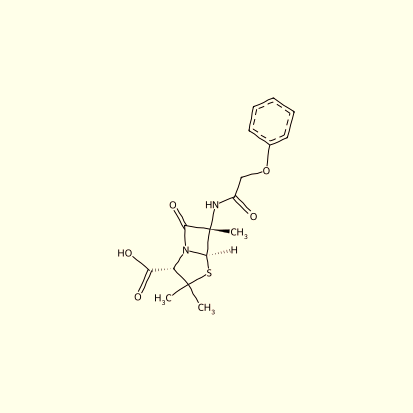 CC1(C)S[C@H]2N(C(=O)[C@]2(C)NC(=O)COc2ccccc2)[C@H]1C(=O)O